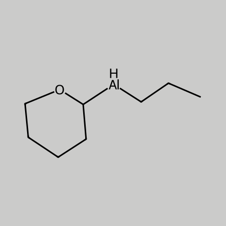 CC[CH2][AlH][CH]1CCCCO1